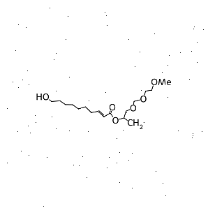 [CH2]C(COCOCCOC)OC(=O)/C=C/CCCCCCCO